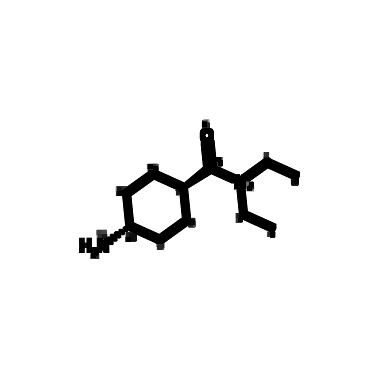 CCN(CC)C(=O)[C@H]1CC[C@H](N)CC1